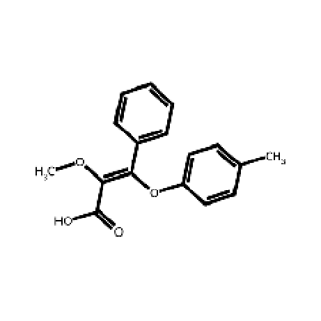 CO/C(C(=O)O)=C(/Oc1ccc(C)cc1)c1ccccc1